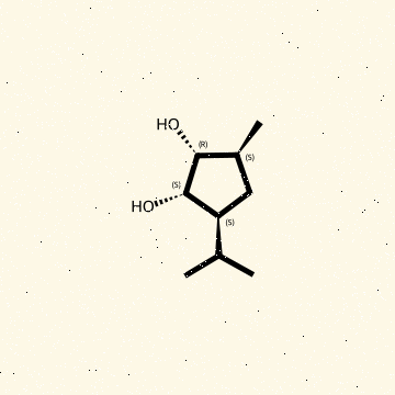 CC(C)[C@@H]1C[C@H](C)[C@@H](O)[C@H]1O